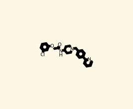 O=C(COc1cccc(Cl)c1)NC1CCN(Cc2ccc(-c3ccccn3)cc2)CC1